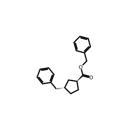 O=C(OCc1ccccc1)[C@H]1CC[C@H](Cc2ccccc2)C1